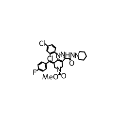 COC(=O)N1C/C(=C\c2ccc(F)cc2)c2c(c(C(=O)NN3CCCCC3)nn2-c2ccc(Cl)cc2Cl)C1